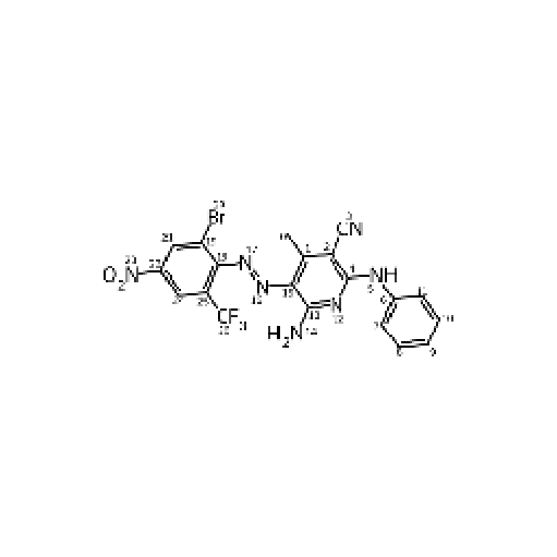 Cc1c(C#N)c(Nc2ccccc2)nc(N)c1N=Nc1c(Br)cc([N+](=O)[O-])cc1C(F)(F)F